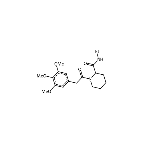 CCNC(=O)C1CCCCN1C(=O)Cc1cc(OC)c(OC)c(OC)c1